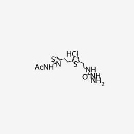 CC(=O)Nc1nc(CCc2ccc(CCNC(=O)NN)s2)cs1.Cl